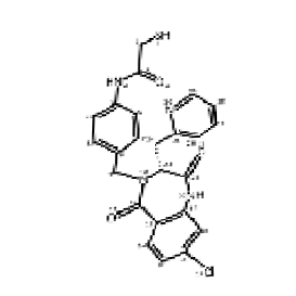 O=C(CS)Nc1ccc(CN2C(=O)c3ccc(Cl)cc3NC(=O)[C@H]2Cc2ccccn2)cc1